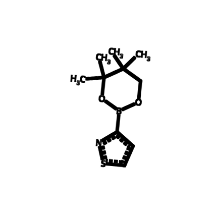 CC1(C)COB(c2ccsn2)OC1(C)C